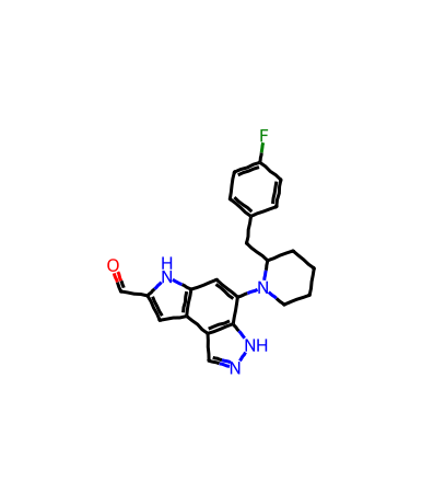 O=Cc1cc2c(cc(N3CCCCC3Cc3ccc(F)cc3)c3[nH]ncc32)[nH]1